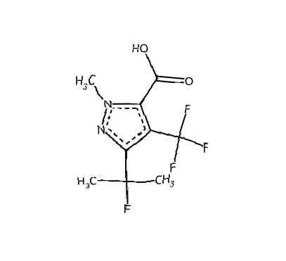 Cn1nc(C(C)(C)F)c(C(F)(F)F)c1C(=O)O